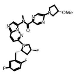 CO[C@H]1CCN(c2cnc(C(=O)N(C)c3cnc4ccc(N5C[C@@H](F)C[C@@H]5Cc5cc(F)ccc5F)nn34)cn2)C1